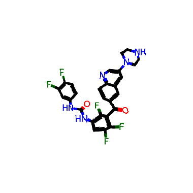 O=C(Nc1ccc(F)c(F)c1)Nc1cc(F)c(F)c(C(=O)c2ccc3ncc(N4CCNCC4)cc3c2)c1F